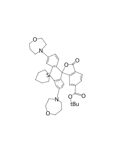 CC(C)(C)OC(=O)c1ccc2c(c1)C1(OC2=O)c2ccc(N3CCCOCC3)cc2[Si]2(CCCCC2)c2cc(N3CCCOCC3)ccc21